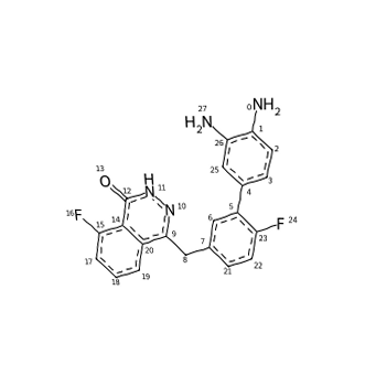 Nc1ccc(-c2cc(Cc3n[nH]c(=O)c4c(F)cccc34)ccc2F)cc1N